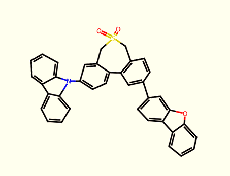 O=S1(=O)Cc2cc(-n3c4ccccc4c4ccccc43)ccc2-c2cc(-c3ccc4c(c3)oc3ccccc34)ccc2C1